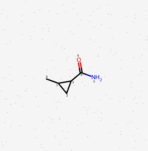 CC1CC1C(N)=O